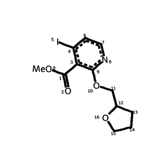 COC(=O)c1c(I)ccnc1OCC1CCCO1